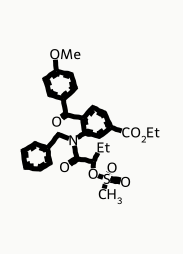 CCOC(=O)c1ccc(C(=O)c2ccc(OC)cc2)c(N(Cc2ccccc2)C(=O)C(CC)OS(C)(=O)=O)c1